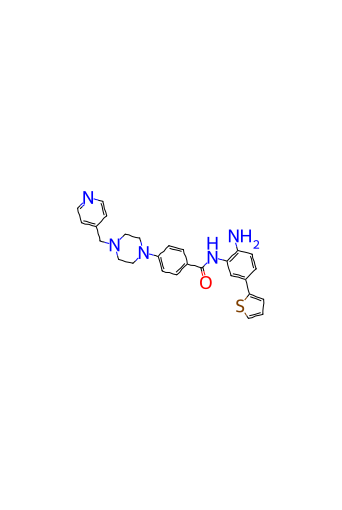 Nc1ccc(-c2cccs2)cc1NC(=O)c1ccc(N2CCN(Cc3ccncc3)CC2)cc1